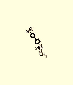 CCO[PH](=S)Oc1ccc(-c2ccc([N+](=O)[O-])cc2)cc1